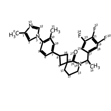 Cc1cn(-c2ccc(C3CC4(CCCN(C(C)c5cc(F)c(F)c(F)c5)C4=O)C3)cc2C)cn1